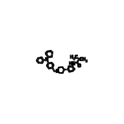 CC(C)C(=O)Nc1cccc(C2CCN(Cc3ccc(N(c4ccccc4)c4ccccc4)cc3)CC2)c1